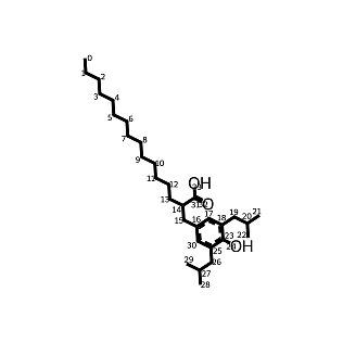 CCCCCCCCCCCCCCC(Cc1cc(CC(C)C)c(O)c(CC(C)C)c1)C(=O)O